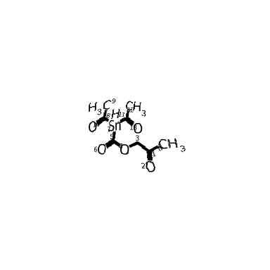 CC(=O)CO[C](=O)[SnH]([C](C)=O)[C](C)=O